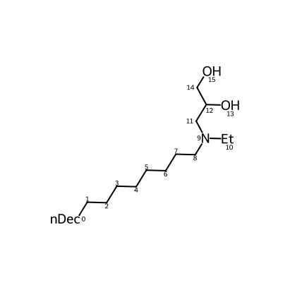 CCCCCCCCCCCCCCCCCCN(CC)CC(O)CO